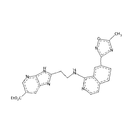 CCOC(=O)c1cnc2[nH]c(CCNc3nccc4ccc(-c5noc(C)n5)cc34)nc2c1